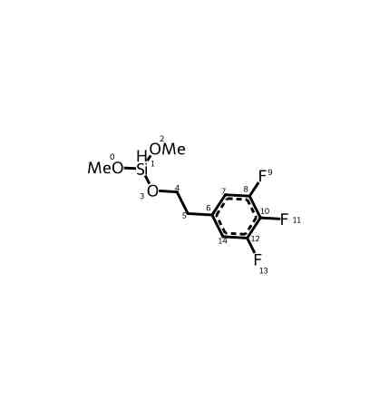 CO[SiH](OC)OCCc1cc(F)c(F)c(F)c1